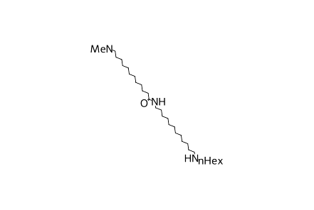 CCCCCCNCCCCCCCCCCCCNC(=O)CCCCCCCCCCCNC